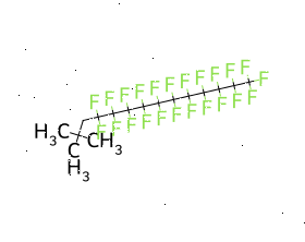 CC(C)(C)CC(F)(F)C(F)(F)C(F)(F)C(F)(F)C(F)(F)C(F)(F)C(F)(F)C(F)(F)C(F)(F)C(F)(F)C(F)(F)F